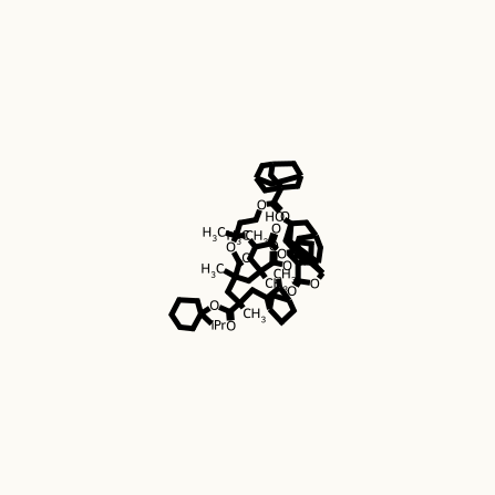 CC(CC(C)(CC(C)(CC(C)(CC1C2CCC(C2)C1C)C(=O)OC1(C(C)C)CCCCC1)C(=O)OC(C)(C)CCOC(=O)C12CC3CC(CC(C3)C1)C2)C(=O)OC1C2CC3C(=O)OC1C3C2)C(=O)OC12CC3CC(CC(O)(C3)C1)C2